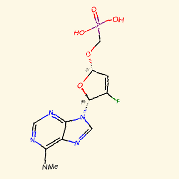 CNc1ncnc2c1ncn2[C@@H]1O[C@H](OCP(=O)(O)O)C=C1F